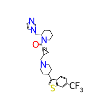 O=C([C@@H]1CC1CN1CCC(c2csc3cc(C(F)(F)F)ccc23)CC1)N1CCCCC1Cn1ccnc1